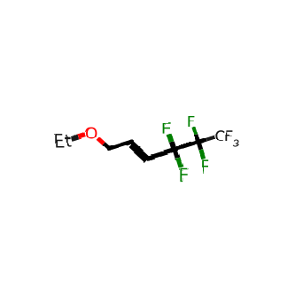 [CH2]COCC=CC(F)(F)C(F)(F)C(F)(F)F